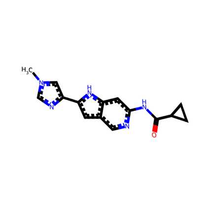 Cn1cnc(-c2cc3cnc(NC(=O)C4CC4)cc3[nH]2)c1